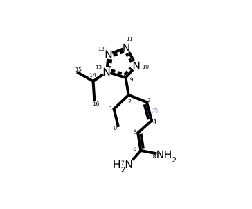 CCC(/C=C\C=C(N)N)c1nnnn1C(C)C